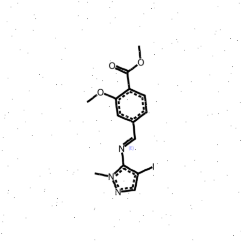 COC(=O)c1ccc(/C=N/c2c(I)cnn2C)cc1OC